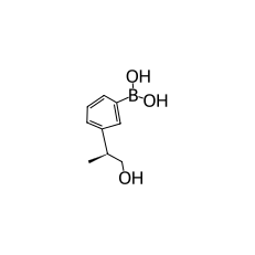 C[C@H](CO)c1cccc(B(O)O)c1